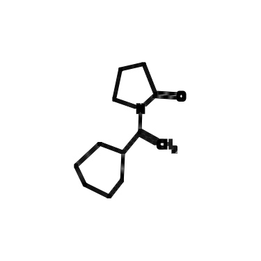 C=C(C1CCCCC1)N1CCCC1=O